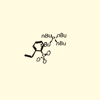 C=Cc1ccccc1S(=O)(=O)[O-].CCCC[P+](CCCC)(CCCC)CCCC